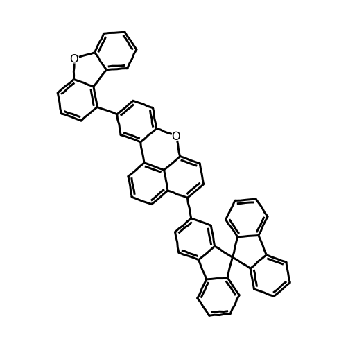 c1ccc2c(c1)-c1ccccc1C21c2ccccc2-c2ccc(-c3ccc4c5c(cccc35)-c3cc(-c5cccc6oc7ccccc7c56)ccc3O4)cc21